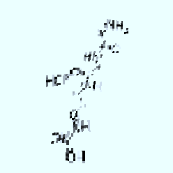 Cl.NCC(=O)NCC(=O)NCCONC(=O)O